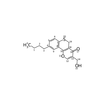 CCCCc1ccc2c(c1)-c1occ(CO)c(=O)c1CS2